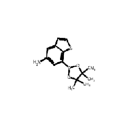 CC1(C)OB(c2cc(N)cc3ccsc23)OC1(C)C